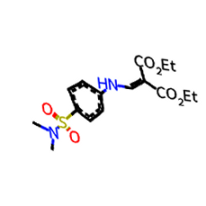 CCOC(=O)C(=CNc1ccc(S(=O)(=O)N(C)C)cc1)C(=O)OCC